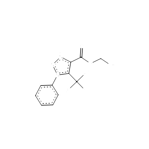 CCOC(=O)c1nnn(-c2ccccc2)c1C(F)(F)F